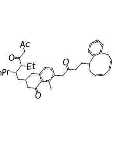 CCCC(CC1CC(=O)c2c(ccc(CC(=O)CCC3C/C=C\C=C/Cc4ccccc43)c2C)C1)C(CC)C(=O)CC(C)=O